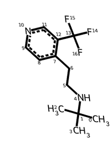 CC(C)(C)NCCc1ccncc1C(F)(F)F